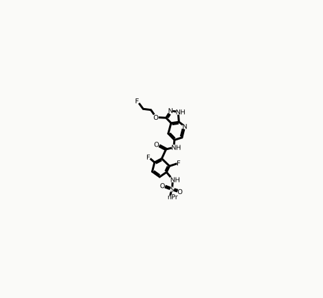 CCCS(=O)(=O)Nc1ccc(F)c(C(=O)Nc2cnc3[nH]nc(OCCF)c3c2)c1F